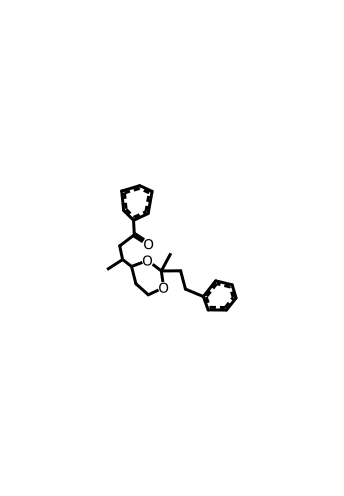 CC(CC(=O)c1ccccc1)C1CCOC(C)(CCc2ccccc2)O1